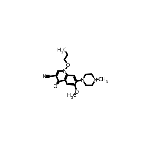 CCCOn1cc(C#N)c(=O)c2cc(OC)c(N3CCN(C)CC3)cc21